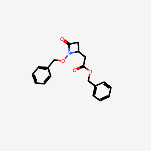 O=C(CC1CC(=O)N1OCc1ccccc1)OCc1ccccc1